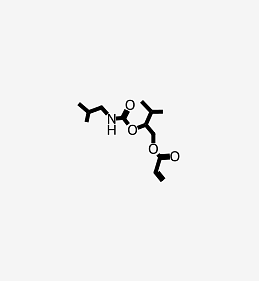 C=CC(=O)OCC(OC(=O)NCC(C)C)C(C)C